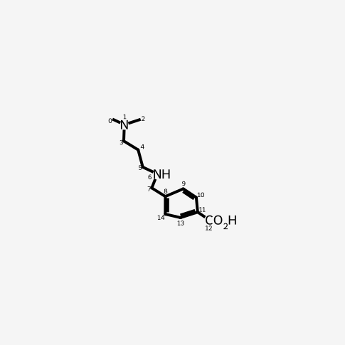 CN(C)CCCNCc1ccc(C(=O)O)cc1